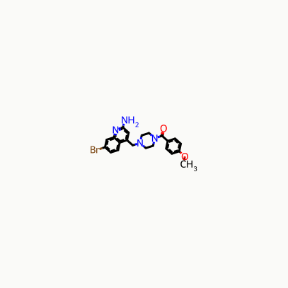 COc1ccc(C(=O)N2CCN(Cc3cc(N)nc4cc(Br)ccc34)CC2)cc1